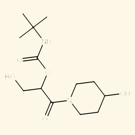 CC(C)(C)NC(=O)OC(CO)C(=O)N1CCC(O)CC1